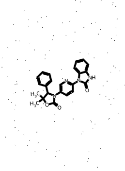 CC1(C)OC(=O)N(c2ccc(-n3c(=O)[nH]c4ccccc43)nc2)C1c1ccccc1